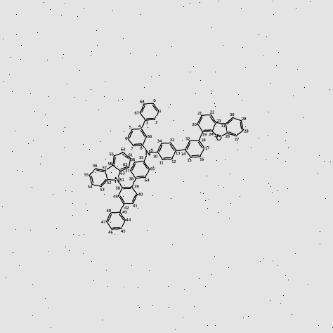 c1ccc(-c2cccc(N(c3ccc(-c4cccc(-c5cccc6c5oc5ccccc56)c4)cc3)c3ccc(-c4ccc(-c5ccccc5)cc4-n4c5ccccc5c5ccccc54)cc3)c2)cc1